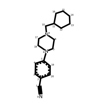 N#Cc1ccc(N2CCN(CC3CCCCC3)CC2)cc1